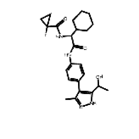 Cc1n[nH]c(C(C)O)c1-c1ccc(NC(=O)[C@@H](NC(=O)C2(F)CC2)C2CCCCC2)cc1